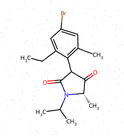 CCc1cc(Br)cc(C)c1C1C(=O)[C@H](C)N(C(C)C)C1=O